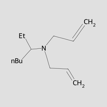 C=CCN(CC=C)C(CC)CCCC